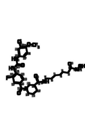 O=C(CCCCCCNC(=O)[C@H]1CCCN(C(=O)c2ccc(NC(=O)Nc3ccc(OC(F)(F)F)c(Cl)c3)c(F)c2)C1)NO